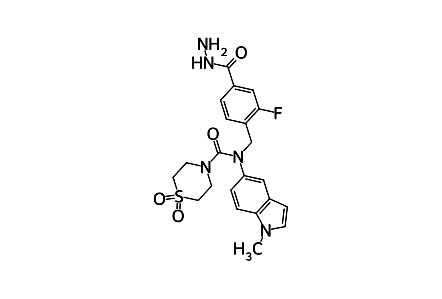 Cn1ccc2cc(N(Cc3ccc(C(=O)NN)cc3F)C(=O)N3CCS(=O)(=O)CC3)ccc21